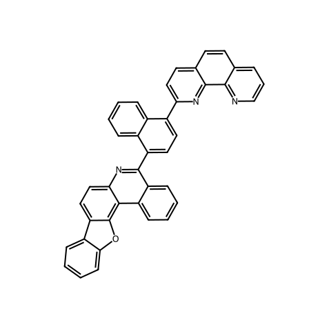 c1cnc2c(c1)ccc1ccc(-c3ccc(-c4nc5ccc6c7ccccc7oc6c5c5ccccc45)c4ccccc34)nc12